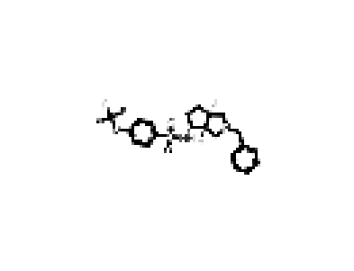 O=S(=O)(N[C@@H]1CC[C@H]2CN(Cc3ccccc3)C[C@@H]21)c1ccc(OC(F)(F)F)cc1